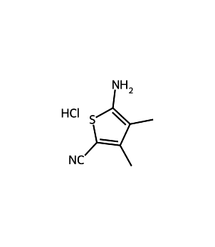 Cc1c(N)sc(C#N)c1C.Cl